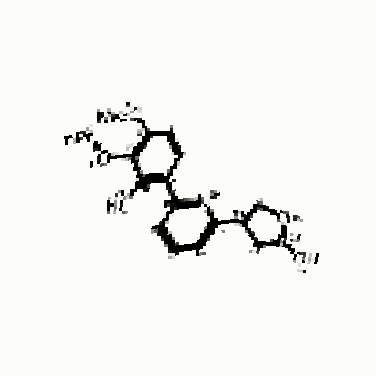 CCCOc1c(OC)ccc(-c2cccc(C3COB(O)C3)n2)c1C#N